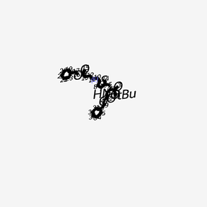 CC(C)(C)OC(=O)[C@H](Cc1ccc(/C=C/CCC(=O)OCc2ccccc2)s1)NC(=O)OCc1ccccc1